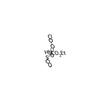 CCOC(=O)C1(NC(=O)CCSc2ccc3ccccc3c2)Cc2ccc(-c3ccc(Cl)cc3)cc2C1